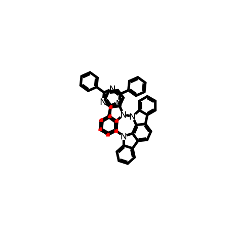 c1ccc(-c2nc(-c3ccccc3)nc(-c3cccc(-n4c5ccccc5c5ccc6c7ccccc7n(-n7c8ccccc8c8ccccc87)c6c54)c3)n2)cc1